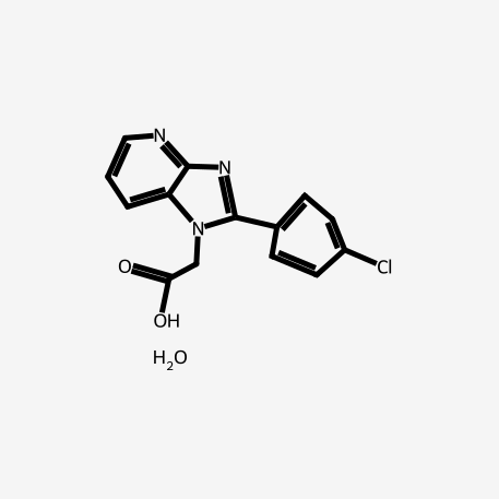 O.O=C(O)Cn1c(-c2ccc(Cl)cc2)nc2ncccc21